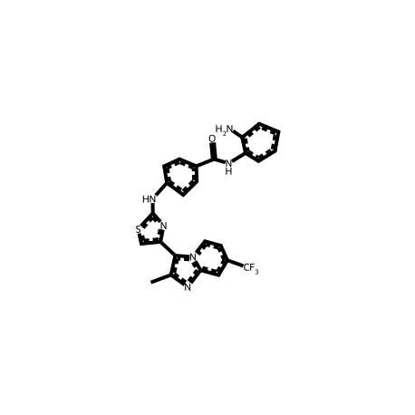 Cc1nc2cc(C(F)(F)F)ccn2c1-c1csc(Nc2ccc(C(=O)Nc3ccccc3N)cc2)n1